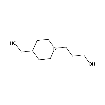 OCCCN1CCC(CO)CC1